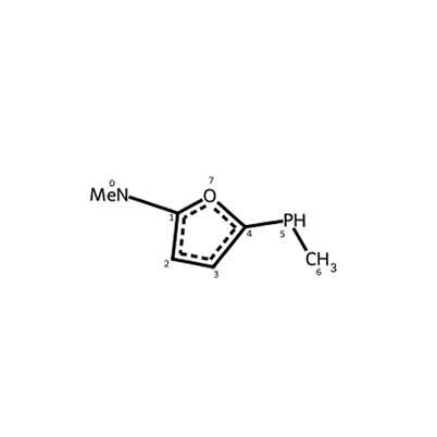 CNc1ccc(PC)o1